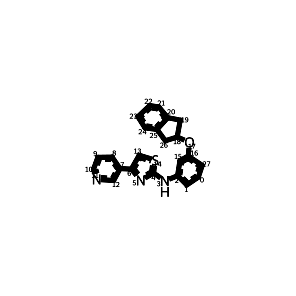 c1cc(Nc2nc(-c3cccnc3)cs2)cc(OC2Cc3ccccc3C2)c1